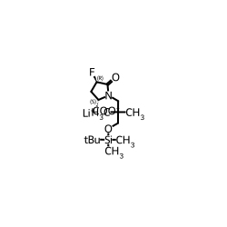 CC(C)(CO[Si](C)(C)C(C)(C)C)CN1C(=O)[C@H](F)C[C@H]1C(=O)[O-].[Li+]